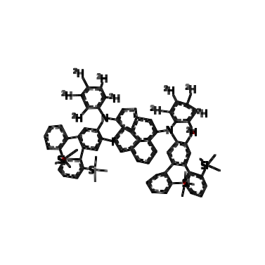 [2H]c1c([2H])c([2H])c(N(c2cc(-c3ccccc3[Si](C)(C)C)c(-c3ccccc3[Si](C)(C)C)cc2F)c2cc3ccc(N(c4cc(-c5ccccc5[Si](C)(C)C)c(-c5ccccc5[Si](C)(C)C)cc4F)c4c([2H])c([2H])c([2H])c([2H])c4[2H])c4ccc5cccc2c5c34)c([2H])c1[2H]